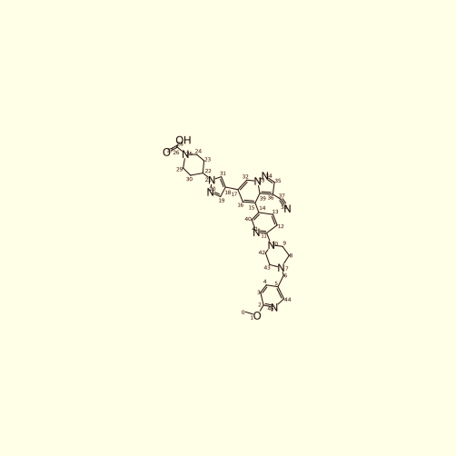 COc1ccc(CN2CCN(c3ccc(-c4cc(-c5cnn(C6CCN(C(=O)O)CC6)c5)cn5ncc(C#N)c45)cn3)CC2)cn1